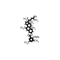 COc1c(C)cc(C)cc1C(=O)OC1CCC2(C)C(C1)CC(C)C1C2CCC2(C)C(C(C)CCC(C)C(C)C)CCC12